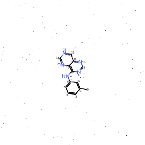 Cc1cccc(Nc2ncnc3cncnc23)c1